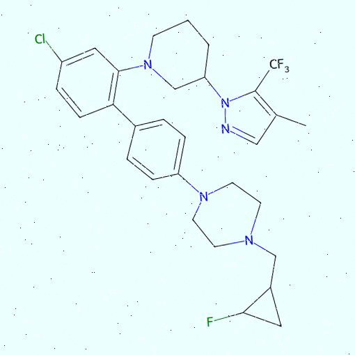 Cc1cnn(C2CCCN(c3cc(Cl)ccc3-c3ccc(N4CCN(CC5CC5F)CC4)cc3)C2)c1C(F)(F)F